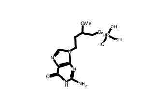 COC(CCn1cnc2c(=O)[nH]c(N)nc21)CO[PH](O)(O)S